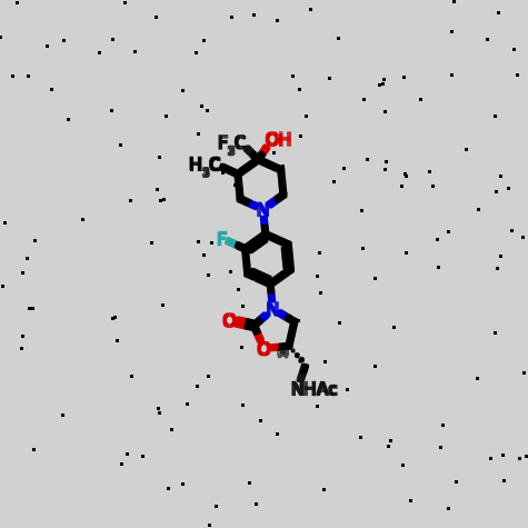 CC(=O)NC[C@H]1CN(c2ccc(N3CCC(O)(C(F)(F)F)C(C)C3)c(F)c2)C(=O)O1